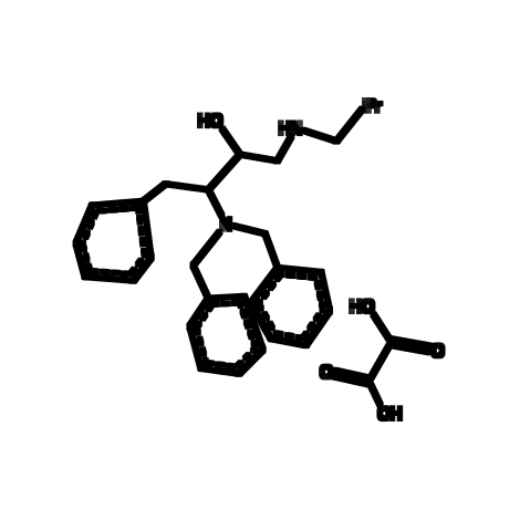 CC(C)CNCC(O)C(Cc1ccccc1)N(Cc1ccccc1)Cc1ccccc1.O=C(O)C(=O)O